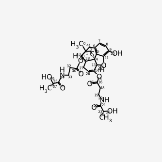 CC1CC[C@]23c4c5ccc(O)c4O[C@H]2C(OC(=O)CCNC(=O)[C@H](C)O)=CC[C@@]3(OC(=O)CCNC(=O)[C@H](C)O)[C@H]1C5